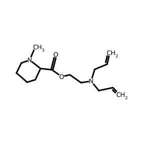 C=CCN(CC=C)CCOC(=O)C1CCCCN1C